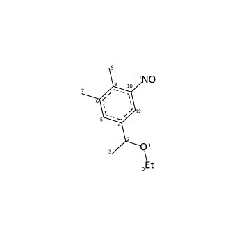 CCOC(C)c1cc(C)c(C)c(N=O)c1